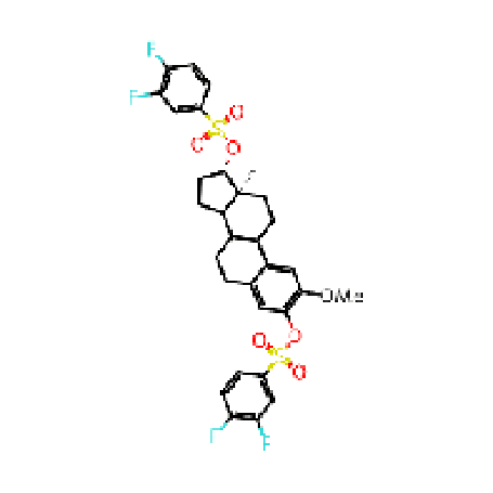 COc1cc2c(cc1OS(=O)(=O)c1ccc(F)c(F)c1)CCC1C2CC[C@@]2(C)C1CC[C@@H]2OS(=O)(=O)c1ccc(F)c(F)c1